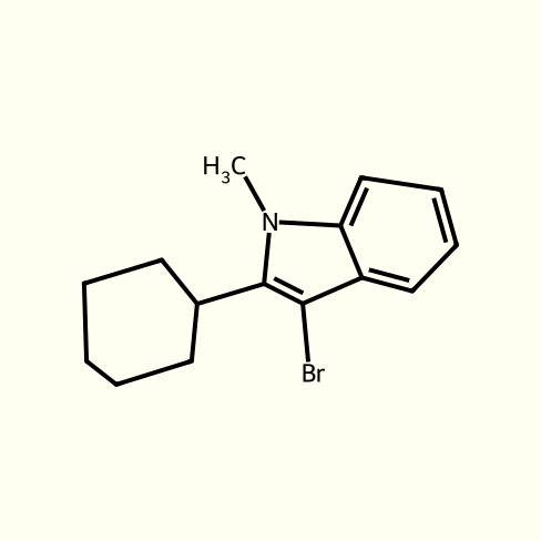 Cn1c(C2CCCCC2)c(Br)c2ccccc21